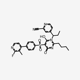 CCCCc1nc(=O)c(S(=O)(=O)c2ccc(-c3ccnc(F)c3C)cc2)c(O)n1C(CC)c1ccnc(C#N)c1